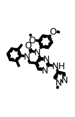 COc1ccc(N2C(=O)N(c3c(C)cccc3C)Cc3cnc(Nc4cnn(C)c4)nc32)c(OC)c1